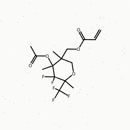 C=CC(=O)OCC1(C)COC(C)(C(F)(F)F)C(F)(F)C1(C)OC(C)=O